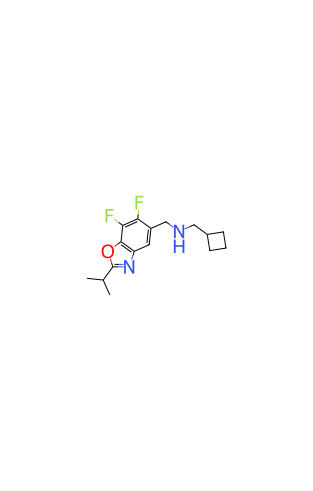 CC(C)c1nc2cc(CNCC3CCC3)c(F)c(F)c2o1